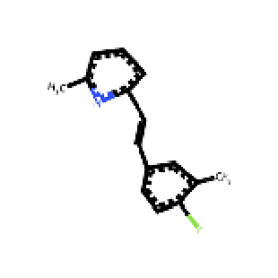 Cc1cccc(C=Cc2ccc(F)c(C(F)(F)F)c2)n1